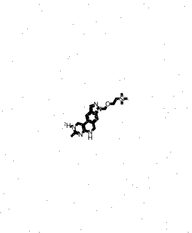 [2H]N1CC2=C(N=C1C)NCc1cc3c(cnn3COCC[Si](C)(C)C)cc12